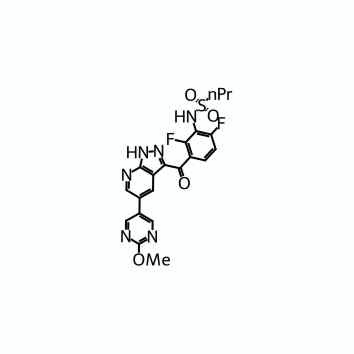 CCCS(=O)(=O)Nc1c(F)ccc(C(=O)c2n[nH]c3ncc(-c4cnc(OC)nc4)cc23)c1F